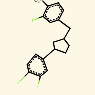 O=[N+]([O-])c1ccc(CC2CCC(c3ccc(F)c(F)c3)C2)cc1F